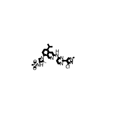 CC(C)c1ccc(N2C[C@H](NS(C)(=O)=O)[C@H]2C)c2cnc(Nc3ccnc(-c4cn(C)nc4Cl)n3)cc12